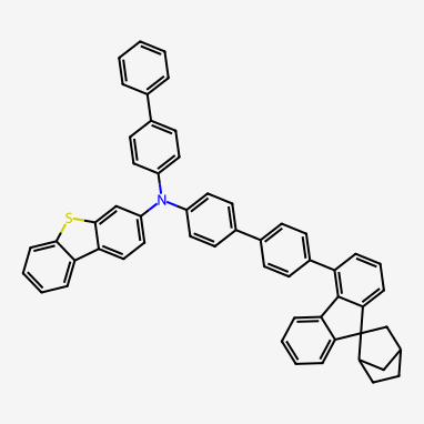 c1ccc(-c2ccc(N(c3ccc(-c4ccc(-c5cccc6c5-c5ccccc5C65CC6CCC5C6)cc4)cc3)c3ccc4c(c3)sc3ccccc34)cc2)cc1